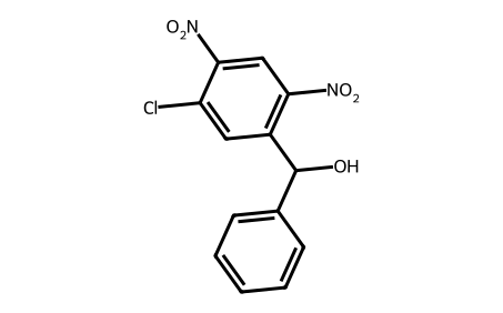 O=[N+]([O-])c1cc([N+](=O)[O-])c(C(O)c2ccccc2)cc1Cl